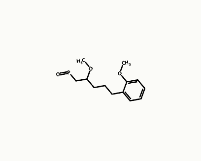 COc1ccccc1CCCC(CP=O)OC